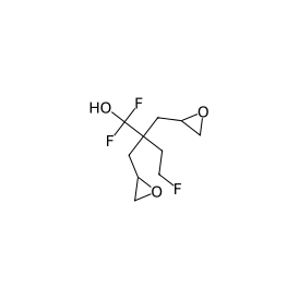 OC(F)(F)C(CCF)(CC1CO1)CC1CO1